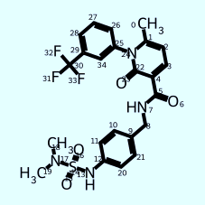 Cc1ccc(C(=O)NCc2ccc(NS(=O)(=O)N(C)C)cc2)c(=O)n1-c1cccc(C(F)(F)F)c1